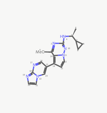 COc1nc(N[C@@H](C)C2CC2)nn2ccc(-c3cnc4nccn4c3)c12